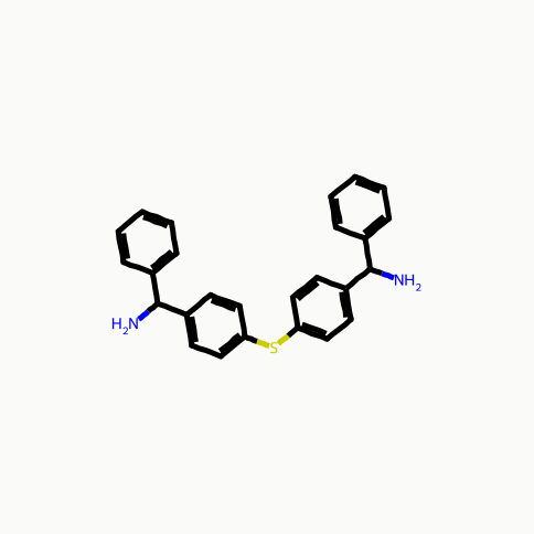 NC(c1ccccc1)c1ccc(Sc2ccc(C(N)c3ccccc3)cc2)cc1